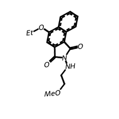 CCOc1cc2c(c3ccccc13)C(=O)N(NCCOC)C2=O